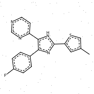 Cc1csc(-c2nc(-c3ccc(F)cc3)c(-c3ccncn3)[nH]2)c1